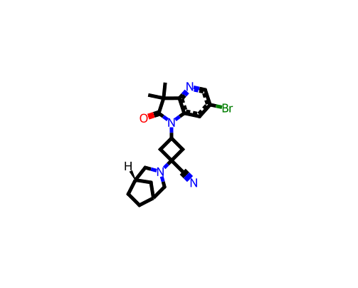 CC1(C)C(=O)N(C2CC(C#N)(N3CC4CC[C@@H](C4)C3)C2)c2cc(Br)cnc21